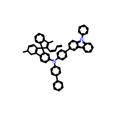 C=C/C=C\C1=C(C)c2ccccc2C12C1=C(CC(C)C=C1)c1ccc(N(c3ccc(-c4ccccc4)cc3)c3ccc(-c4ccc5c(c4)c4ccccc4n5-c4ccccc4)cc3)cc12